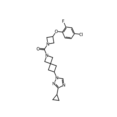 O=C(N1CC(Oc2ccc(Cl)cc2F)C1)N1CC2(CC(n3cnc(C4CC4)n3)C2)C1